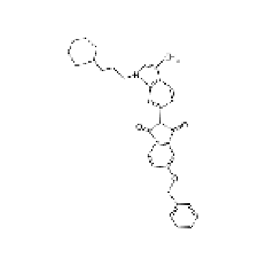 Cc1cn(CCCC2CCCCC2)c2cc(C3C(=O)c4ccc(OCc5ccccc5)cc4C3=O)ccc12